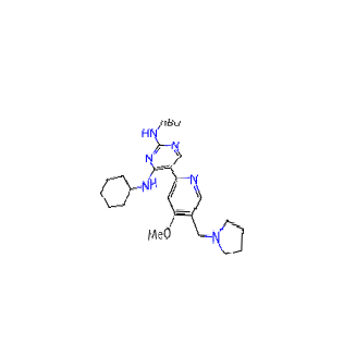 CCCCNc1ncc(-c2cc(OC)c(CN3CCCC3)cn2)c(NC2CCCCC2)n1